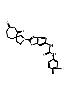 Cc1ccc(NC(=O)Nc2ccc3nc(N4CCC5(CCCC(=O)NC5=O)C4)sc3c2)cc1Cl